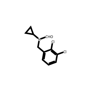 O=CN(Cc1cccc(Cl)c1Cl)C1CC1